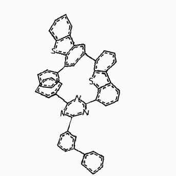 c1ccc(-c2cccc(-c3nc(-c4ccccc4)nc(-c4cccc5c4sc4c(-c6cc(-c7ccccc7)c7sc8ccccc8c7c6)cccc45)n3)c2)cc1